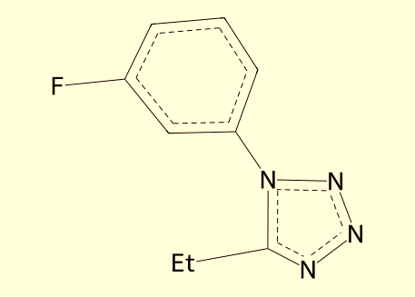 [CH2]Cc1nnnn1-c1cccc(F)c1